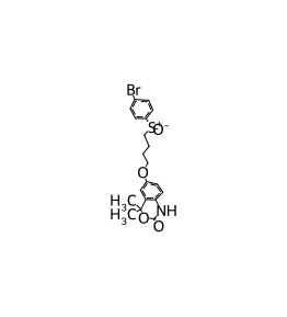 CC1(C)OC(=O)Nc2ccc(OCCCC[S+]([O-])c3ccc(Br)cc3)cc21